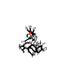 Cc1noc2c1-c1ccnc(F)c1C(O)(c1ccc(Cl)cc1)N(C(=O)OC(C)(C)C)[C@H]2CC(=O)OC(C)(C)C